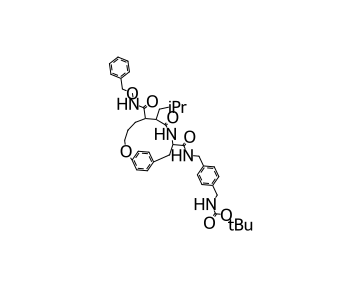 CC(C)CC1C(=O)NC(C(=O)NCc2ccc(CNC(=O)OC(C)(C)C)cc2)Cc2ccc(cc2)OCCCC1C(=O)NOCc1ccccc1